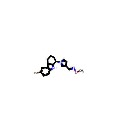 CO/N=C/c1ccn(C2CCCc3c2[nH]c2ccc(Br)cc32)c1